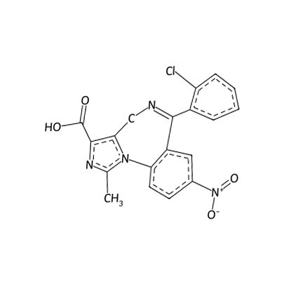 Cc1nc(C(=O)O)c2n1-c1ccc([N+](=O)[O-])cc1C(c1ccccc1Cl)=NC2